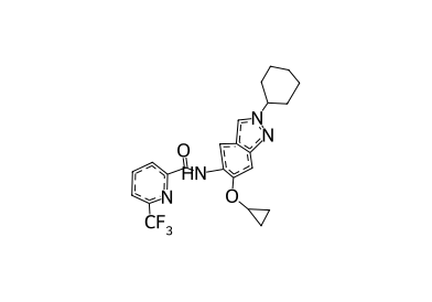 O=C(Nc1cc2cn(C3CCCCC3)nc2cc1OC1CC1)c1cccc(C(F)(F)F)n1